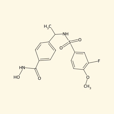 COc1ccc(S(=O)(=O)NC(C)c2ccc(C(=O)NO)cc2)cc1F